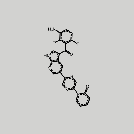 Nc1ccc(F)c(C(=O)c2c[nH]c3ncc(-c4cnc(-n5ccccc5=O)cn4)cc23)c1F